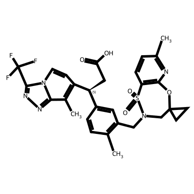 Cc1ccc2c(n1)OC1(CC1)CN(Cc1cc([C@H](CC(=O)O)c3ccn4c(C(F)(F)F)nnc4c3C)ccc1C)S2(=O)=O